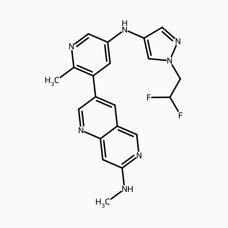 CNc1cc2ncc(-c3cc(Nc4cnn(CC(F)F)c4)cnc3C)cc2cn1